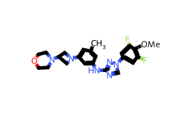 COc1c(F)cc(-n2cnc(Nc3cc(C)cc(N4CC(N5CCOCC5)C4)c3)n2)cc1F